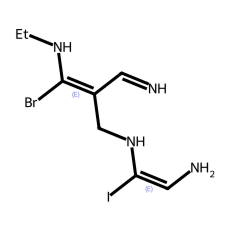 CCN/C(Br)=C(\C=N)CN/C(I)=C\N